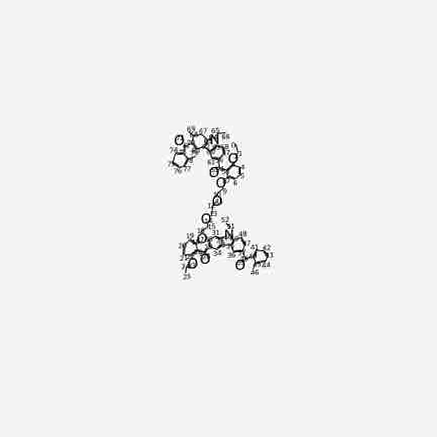 CCOc1cccc(OCCOCCOCCOc2cccc(OCC)c2C(=O)c2ccc3c(c2)c2cc(C(=O)c4ccccc4C)ccc2n3CC)c1C(=O)c1ccc2c(c1)c1c(n2CC)CC(C)C(C(=O)c2ccccc2C)=C1